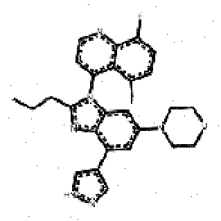 CCCc1nc2c(-c3cn[nH]c3)cc(N3CCOCC3)cc2n1-c1ccnc2c(F)ccc(F)c12